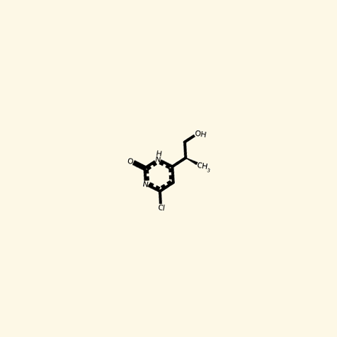 C[C@H](CO)c1cc(Cl)nc(=O)[nH]1